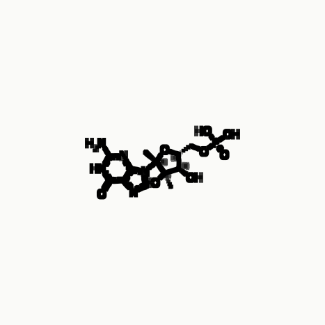 C[C@@]1(n2cnc3c(=O)[nH]c(N)nc32)O[C@H](COP(=O)(O)O)[C@@H](O)[C@@]1(C)O